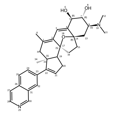 CC1=C2C=C3[C@@H](O)[C@H](O)[C@@H](N(C)C)C[C@]34CC[C@]2(O4)C2CC=C(c3ccc4ccncc4c3)[C@@]2(C)C1